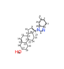 Cc1ccc2ncn(C3=CCC4C5CC=C6C[C@@H](O)CC[C@]6(C)C5CC[C@]34C)c2c1